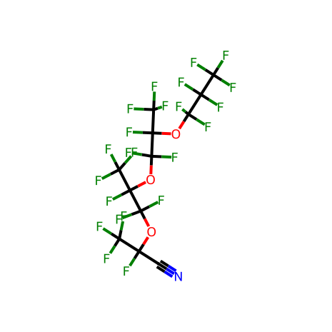 N#CC(F)(OC(F)(F)C(F)(OC(F)(F)C(F)(OC(F)(F)C(F)(F)C(F)(F)F)C(F)(F)F)C(F)(F)F)C(F)(F)F